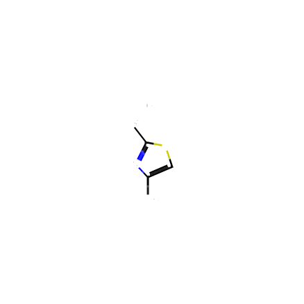 CC[C@@H](C)[CH]c1nc(C(C)(C)C)cs1